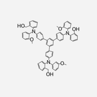 COc1cccc(N(c2ccc(-c3cc(-c4ccc(N(c5ccccc5O)c5ccccc5OC)cc4)cc(-c4ccc(N(c5ccccc5CO)c5ccccc5OC)cc4)c3)cc2)c2ccccc2CO)c1